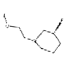 F[C@H]1CCCN(CCOI)C1